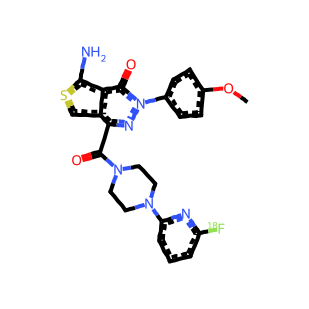 COc1ccc(-n2nc(C(=O)N3CCN(c4cccc([18F])n4)CC3)c3csc(N)c3c2=O)cc1